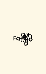 O=C(O)C1(CC(O)c2ccc(F)cc2)NC(c2ccccc2)C(c2ccccc2)N1